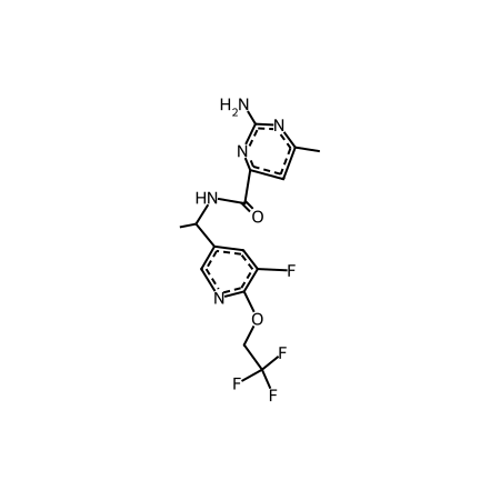 Cc1cc(C(=O)NC(C)c2cnc(OCC(F)(F)F)c(F)c2)nc(N)n1